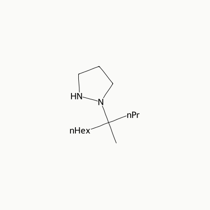 CCCCCCC(C)(CCC)N1CCCN1